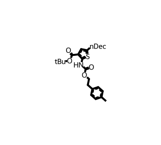 CCCCCCCCCCc1cc(C(=O)OC(C)(C)C)c(NC(=O)OCCc2ccc(C)cc2)s1